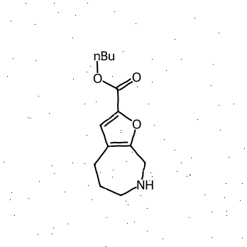 CCCCOC(=O)c1cc2c(o1)CNCCC2